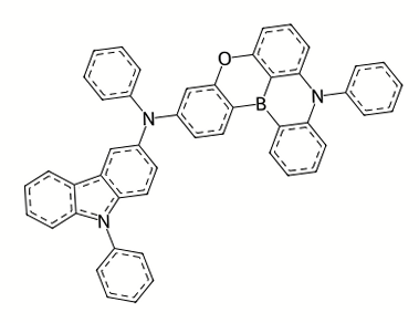 c1ccc(N(c2ccc3c(c2)Oc2cccc4c2B3c2ccccc2N4c2ccccc2)c2ccc3c(c2)c2ccccc2n3-c2ccccc2)cc1